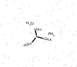 CCCCCCCCP(CCCCCCCC)CCCCCCCC.O.P